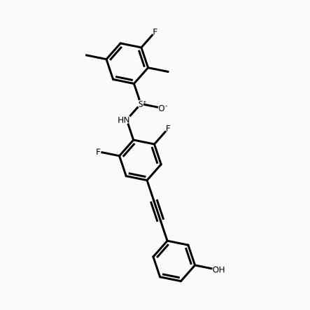 Cc1cc(F)c(C)c([S+]([O-])Nc2c(F)cc(C#Cc3cccc(O)c3)cc2F)c1